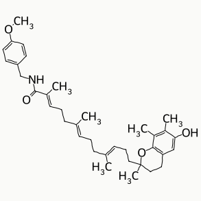 COc1ccc(CNC(=O)/C(C)=C/CC/C(C)=C/CC/C(C)=C/CCC2(C)CCc3cc(O)c(C)c(C)c3O2)cc1